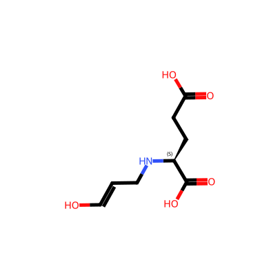 O=C(O)CC[C@H](NCC=CO)C(=O)O